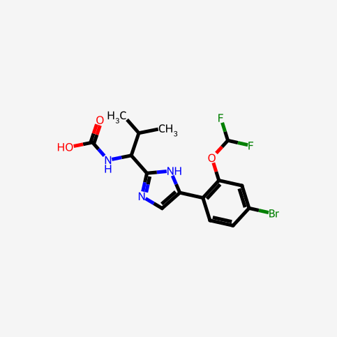 CC(C)C(NC(=O)O)c1ncc(-c2ccc(Br)cc2OC(F)F)[nH]1